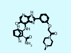 CN1CCN(C(=O)COc2cccc(-c3nc4c(N[C@H]5[C@@H](C(N)=O)[C@@H]6C=C[C@H]5C6)c(Cl)cnc4[nH]3)c2)CC1